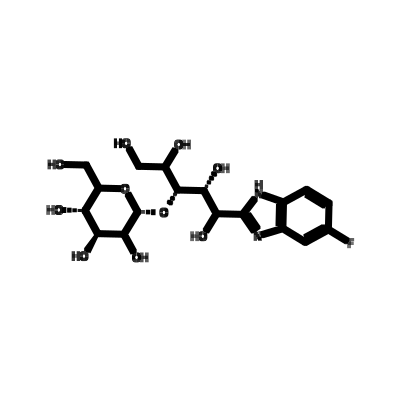 OCC1O[C@H](O[C@H](C(O)CO)[C@H](O)C(O)c2nc3cc(F)ccc3[nH]2)C(O)[C@@H](O)[C@@H]1O